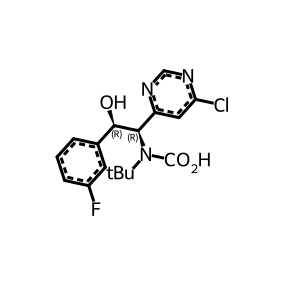 CC(C)(C)N(C(=O)O)[C@H](c1cc(Cl)ncn1)[C@H](O)c1cccc(F)c1